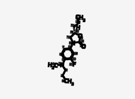 CCCN(C)c1ccc(N2C[C@H](CPC)OC2=O)cc1F